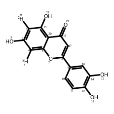 [2H]c1c(O)c([2H])c2oc(-c3ccc(O)c(O)c3)cc(=O)c2c1O